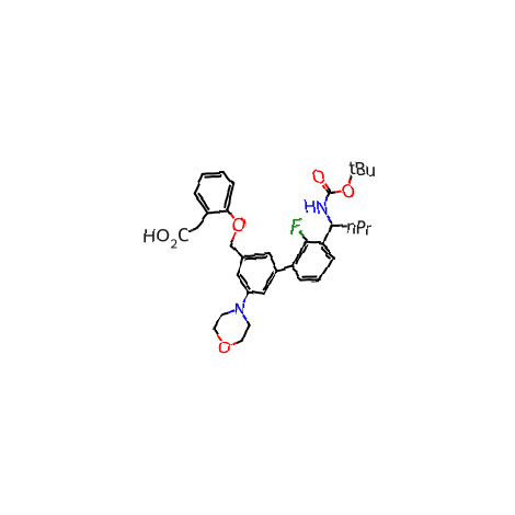 CCCC(NC(=O)OC(C)(C)C)c1cccc(-c2cc(COc3ccccc3CC(=O)O)cc(N3CCOCC3)c2)c1F